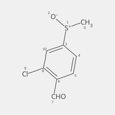 C[S+]([O-])c1ccc(C=O)c(Cl)c1